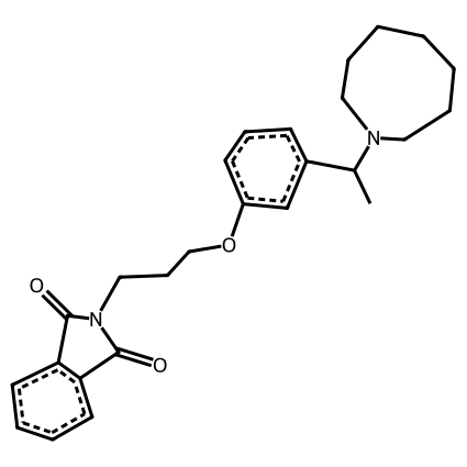 CC(c1cccc(OCCCN2C(=O)c3ccccc3C2=O)c1)N1CCCCCCC1